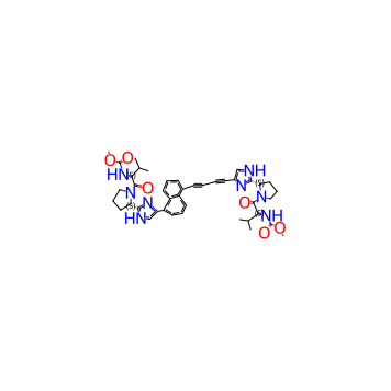 COC(=O)N[C@H](C(=O)N1CCC[C@H]1c1nc(C#CC#Cc2cccc3c(-c4c[nH]c([C@@H]5CCCN5C(=O)[C@@H](NC(=O)OC)C(C)C)n4)cccc23)c[nH]1)C(C)C